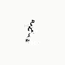 O=C(CC1CCC1)Nc1ccn(CCC(F)Cn2cc(C(=O)[O-])nn2)c(=O)c1F.[Li+]